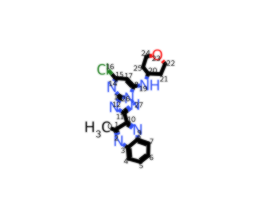 Cc1nc2ccccc2nc1-c1nc2nc(Cl)cc(NC3CCOCC3)n2n1